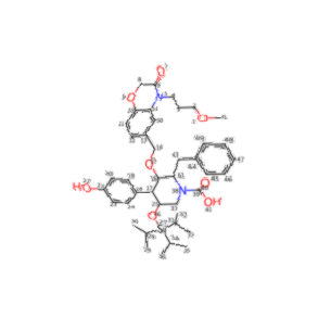 COCCCN1C(=O)COc2ccc(COC3C(c4ccc(O)cc4)C(O[Si](C(C)C)(C(C)C)C(C)C)CN(C(=O)O)C3Cc3ccccc3)cc21